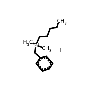 CCCCC[P+](C)(C)Cc1ccccc1.[I-]